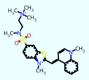 CN1C=C/C(=C\c2sc3cc(S(=O)(=O)N(C)CC[N+](C)(C)C)ccc3[n+]2C)c2ccccc21